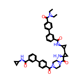 CCN(CC)C(=O)c1ccc(-c2cccc(C(=O)NC3CC3C3CC3(N)C(=O)N3CCN(C(=O)c4ccc(-c5cccc(C(=O)NC6CC6)c5)cc4)CC3)c2)cc1